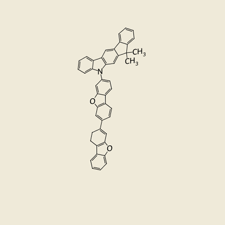 CC1(C)c2ccccc2-c2cc3c4ccccc4n(-c4ccc5c(c4)oc4cc(C6=Cc7oc8ccccc8c7CC6)ccc45)c3cc21